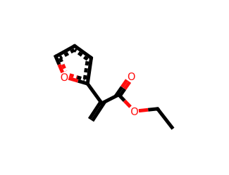 C=C(C(=O)OCC)c1ccco1